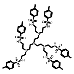 Cc1ccc(S(=O)(=O)NCCN(CCNS(=O)(=O)c2ccc(C)cc2)CCN(CCN(CCNS(=O)(=O)c2ccc(C)cc2)CCNS(=O)(=O)c2ccc(C)cc2)CCN(CCNS(=O)(=O)c2ccc(C)cc2)CCNS(=O)(=O)c2ccc(C)cc2)cc1